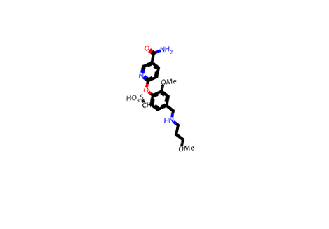 COCCCNCc1ccc(Oc2ccc(C(N)=O)cn2)c(OC)c1.CS(=O)(=O)O